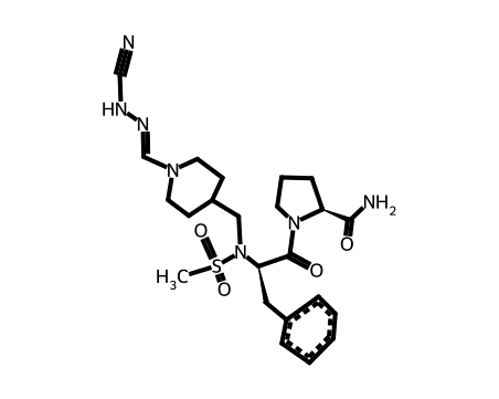 CS(=O)(=O)N(CC1CCN(C=NNC#N)CC1)[C@H](Cc1ccccc1)C(=O)N1CCC[C@H]1C(N)=O